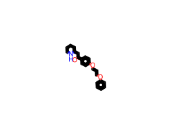 O=C(CC1CCCCN1)c1ccc(OCCCOc2ccccc2)cc1